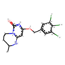 CC1CCn2c(cc(OCc3cc(F)c(F)c(F)c3)nc2=O)N1